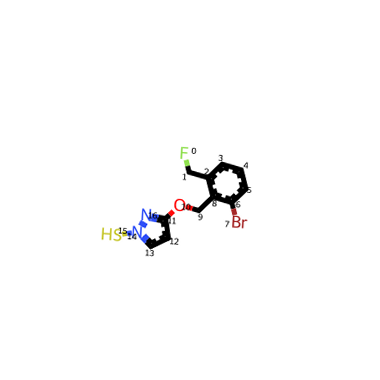 FCc1cccc(Br)c1COc1ccn(S)n1